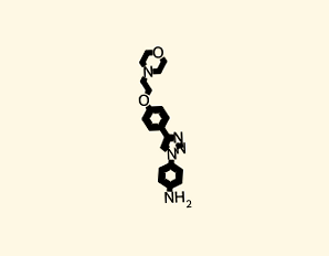 Nc1ccc(-n2cc(-c3ccc(OCCN4CCOCC4)cc3)nn2)cc1